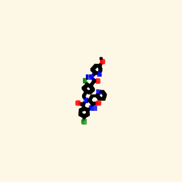 COc1ccc(NC(=O)c2ccc(CN3C(=O)c4ccc(Cl)cc4NC(=O)C3Cc3ccccn3)cc2F)nc1